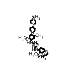 COc1cc(N2CCC(N3CCN(C)CC3)CC2)c(C)cc1Nc1nsc(Nc2ccc3nccnc3c2P(C)C)n1